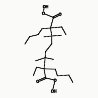 CCCCC(CC)(C(=O)OO)C(C)(C)CCC(C)(C)C(CC)(CCCC)C(=O)OO